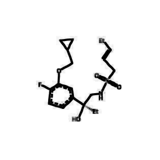 CC/C=C/CS(=O)(=O)NC[C@](O)(CC)c1ccc(F)c(OCC2CC2)c1